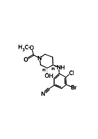 COC(=O)N1CC[C@@H](Nc2cc(C#N)cc(Br)c2Cl)[C@H](O)C1